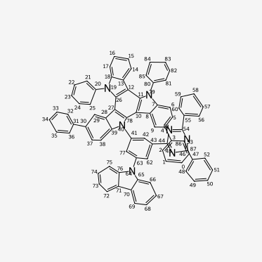 c1ccc(-c2ccc3c(c2)c2c(c4c5ccccc5n(-c5ccccc5)c4c4c5cc(-c6ccccc6)ccc5n(-c5cc(-c6nc(-c7ccccc7)nc(-c7ccccc7)n6)cc(-n6c7ccccc7c7ccccc76)c5)c42)n3-c2ccccc2)cc1